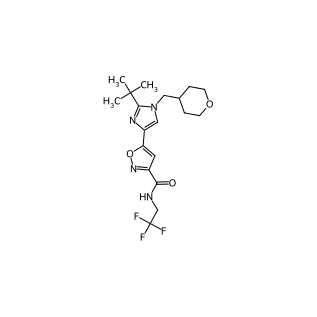 CC(C)(C)c1nc(-c2cc(C(=O)NCC(F)(F)F)no2)cn1CC1CCOCC1